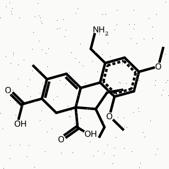 CCC(CC)C1(C(=O)O)CC(C(=O)O)=C(C)C=C1c1c(CN)cc(OC)cc1OC